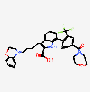 O=C(O)c1[nH]c2c(-c3ccc(C(=O)N4CCOCC4)cc3C(F)(F)F)cccc2c1CCCCN1CCOc2ccccc21